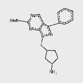 CNc1ncc2c(-c3ccccc3)nn(CC3CCC(N)C3)c2n1